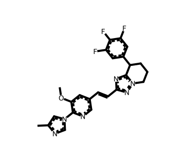 COc1cc(C=Cc2nc3n(n2)CCCC3c2cc(F)c(F)c(F)c2)cnc1-n1cnc(C)c1